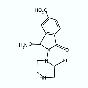 CCC1CNCCN1N1C(=O)c2ccc(C(=O)O)cc2C1=O.N